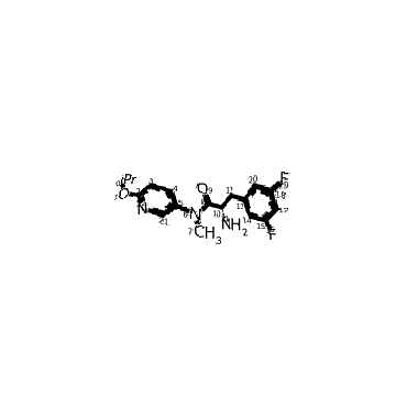 CC(C)Oc1ccc(N(C)C(=O)[C@@H](N)Cc2cc(F)cc(F)c2)cn1